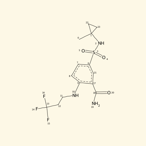 CC1(NS(=O)(=O)c2ccc(NCCC(F)(F)F)c(C(N)=O)c2)CC1